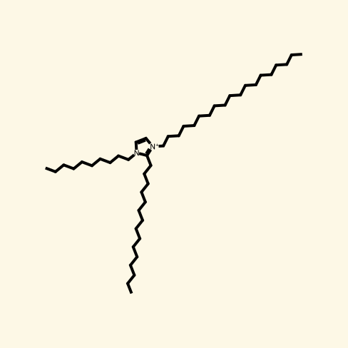 CCCCCCCCCCCCCCCCCCC[n+]1ccn(CCCCCCCCCC)c1CCCCCCCCCCCCCCC